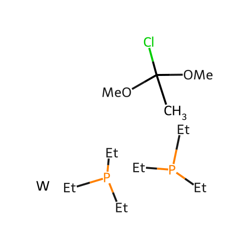 CCP(CC)CC.CCP(CC)CC.COC(C)(Cl)OC.[W]